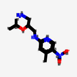 Cc1cc(NCC(CN)OC(C)C)ncc1[N+](=O)[O-]